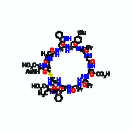 CC(=O)N[C@@H](CC(=O)O)C(=O)N[C@H]1CSSC[C@@H](C(=O)N[C@H](C(=O)O)[C@@H](C)O)NC(=O)[C@H](Cc2c[nH]c3ccccc23)NC(=O)C(C(C)C)NC(=O)[C@H](CC(C)C)NC(=O)[C@H](CCC(=O)O)NC(=O)CNC(=O)[C@H](CC(C)C)NC(=O)[C@H](Cc2cccc(C(C)(C)C)c2)NC(=O)[C@H](Cc2c[nH]c3ccccc23)NC(=O)[C@H](C)NC1=O